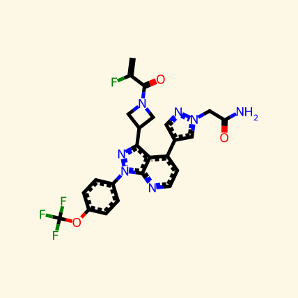 C=C(F)C(=O)N1CC(c2nn(-c3ccc(OC(F)(F)F)cc3)c3nccc(-c4cnn(CC(N)=O)c4)c23)C1